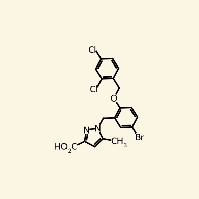 Cc1cc(C(=O)O)nn1Cc1cc(Br)ccc1OCc1ccc(Cl)cc1Cl